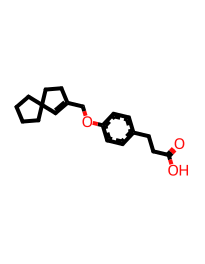 O=C(O)CCc1ccc(OCC2=CC3(CCCC3)CC2)cc1